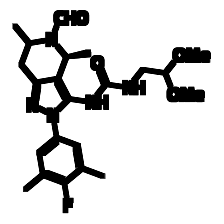 COC(CNC(=O)Nc1c2c(nn1-c1cc(C)c(F)c(C)c1)CC(C)N(C=O)[C@H]2C)OC